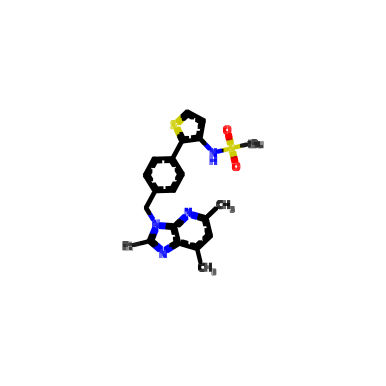 CCc1nc2c(C)cc(C)nc2n1Cc1ccc(-c2sccc2NS(=O)(=O)C(C)(C)C)cc1